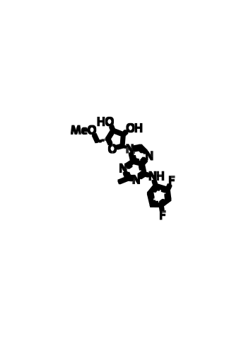 COC[C@H]1O[C@@H](n2cnc3c(Nc4ccc(F)cc4F)nc(C)nc32)C(O)C1O